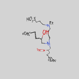 CCCCCCCCCCCCC(O)CN(CCCN(CC)CCCS(=O)(=O)O)CC(O)CCCCCCCCCCCC